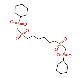 O=S(=O)(CCCCCCS(=O)(=O)CS(=O)(=O)C1CCCCC1)CS(=O)(=O)C1CCCCC1